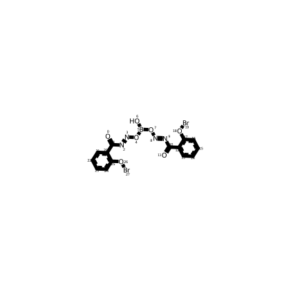 O=C(N=NOB(O)ON=NC(=O)c1ccccc1OBr)c1ccccc1OBr